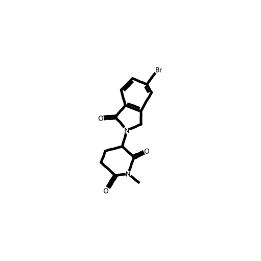 CN1C(=O)CCC(N2Cc3cc(Br)ccc3C2=O)C1=O